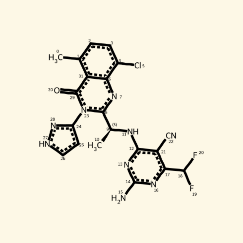 Cc1ccc(Cl)c2nc([C@H](C)Nc3nc(N)nc(C(F)F)c3C#N)n(-c3cc[nH]n3)c(=O)c12